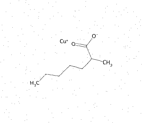 CCCCCC(C)C(=O)[O-].[Cu+]